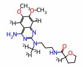 [2H]c1c(OC)c(OC)c([2H])c2c(N)nc(N(CCCNC(=O)C3([2H])CCCO3)C([2H])([2H])[2H])nc12